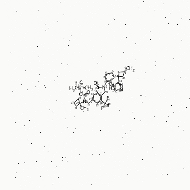 C=C1CC(c2cccc(N3Cc4c(cc(CN(C(=O)OC(C)(C)C)C5(C)CCC5)cc4C(F)(F)F)C3=O)c2)(c2nncn2C)C1